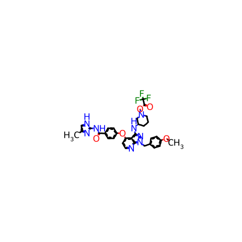 COc1ccc(Cn2nc(N[C@@H]3CCCN(OC(=O)C(F)(F)F)C3)c3c(Oc4ccc(C(=O)Nc5nc(C)c[nH]5)cc4)ccnc32)cc1